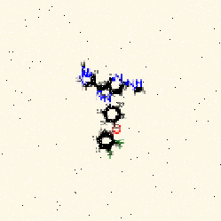 CCNc1cc2c(cn1)c(-c1cnn(C)c1)nn2[C@H]1CC[C@@H](Oc2cccc(F)c2F)CC1